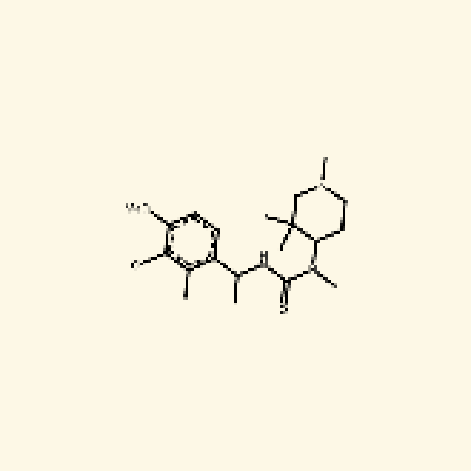 COc1ccc(C(C)NC(=O)N(C)C2CCN(C)CC2(C)C)c(C)c1Cl